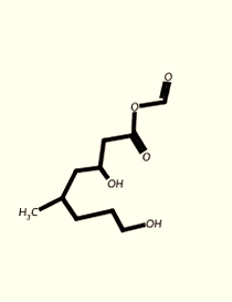 CC(CCCO)CC(O)CC(=O)OC=O